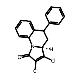 O=C1C(Cl)=C(Cl)[C@@H]2CC(c3ccccc3)c3ccccc3N12